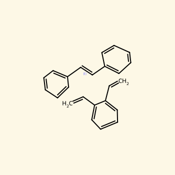 C(=C\c1ccccc1)/c1ccccc1.C=Cc1ccccc1C=C